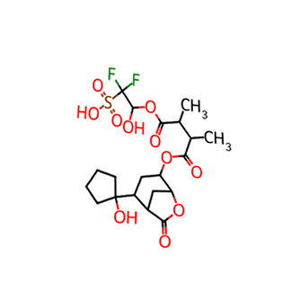 CC(C(=O)OC1CC(C2(O)CCCC2)C2CC1OC2=O)C(C)C(=O)OC(O)C(F)(F)S(=O)(=O)O